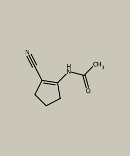 CC(=O)NC1=C(C#N)CCC1